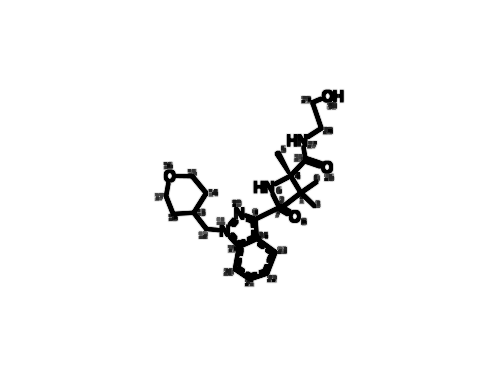 CC(C)(C)[C@](C)(NC(=O)c1nn(CC2CCOCC2)c2ccccc12)C(=O)NCCO